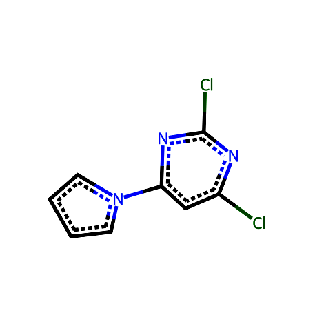 Clc1cc(-n2cccc2)nc(Cl)n1